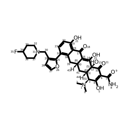 CN(C)[C@@H]1C(O)=C(C(N)=O)C(=O)[C@@]2(O)C(O)=C3C(=O)c4c(O)ccc(-c5occc5CN5CCC(F)CC5)c4C[C@H]3C[C@@H]12